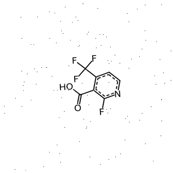 O=C(O)c1c(C(F)(F)F)ccnc1F